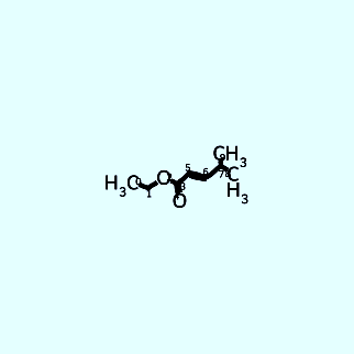 CCOC(=O)/C=C/C(C)C